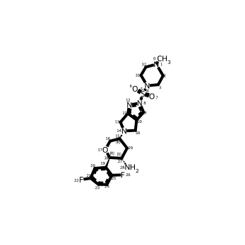 CN1CCN(S(=O)(=O)n2cc3c(n2)CN([C@H]2CO[C@H](c4cc(F)ccc4F)[C@@H](N)C2)C3)CC1